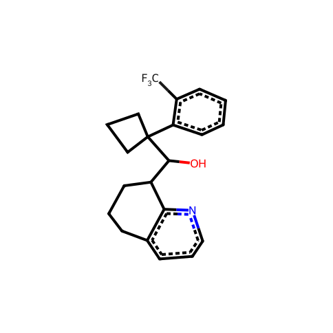 OC(C1CCCc2cccnc21)C1(c2ccccc2C(F)(F)F)CCC1